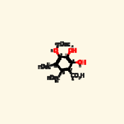 CCCCCCCCCCOc1c(O)c(O)c(C(=O)O)c(CCCCCCCCCC)c1CCCCCCCCCC